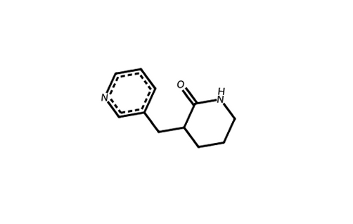 O=C1NCCCC1Cc1cccnc1